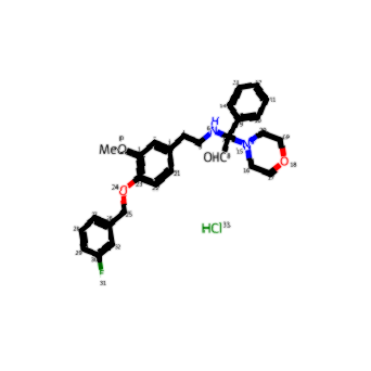 COc1cc(CCNC(C=O)(c2ccccc2)N2CCOCC2)ccc1OCc1cccc(F)c1.Cl